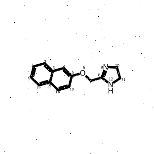 c1ccc2cc(OCC3=NCCN3)ccc2c1